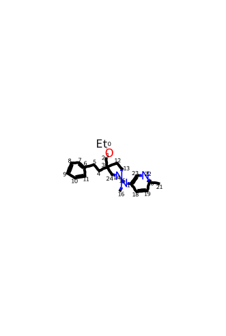 CCOCC1(CCc2ccccc2)CCN(N(C)c2ccc(C)nc2)C1